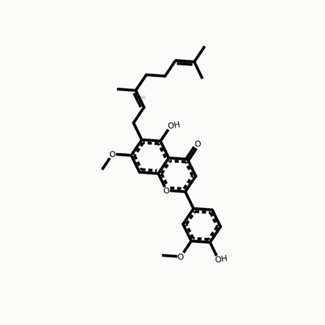 COc1cc(-c2cc(=O)c3c(O)c(C/C=C(\C)CCC=C(C)C)c(OC)cc3o2)ccc1O